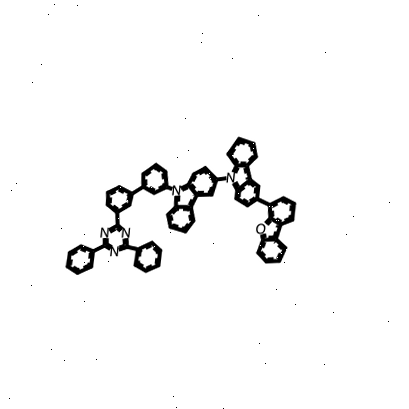 c1ccc(-c2nc(-c3ccccc3)nc(-c3cccc(-c4cccc(-n5c6ccccc6c6cc(-n7c8ccccc8c8cc(-c9cccc%10c9oc9ccccc9%10)ccc87)ccc65)c4)c3)n2)cc1